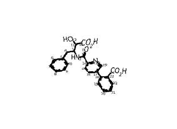 O=C(NC(Cc1ccccc1)C(O)C(=O)O)c1ccc(-c2ccccc2C(=O)O)cn1